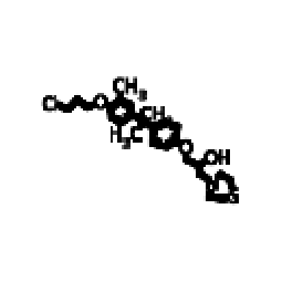 Cc1cc(C(C)(C)c2ccc(OCC(O)CN3CCSCC3)cc2)ccc1OCCCCl